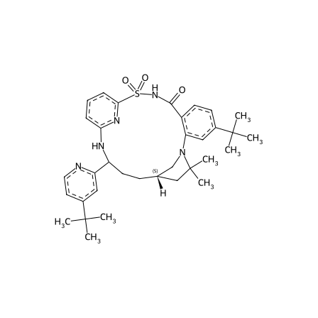 CC(C)(C)c1ccnc(C2CC[C@@H]3CN(c4cc(C(C)(C)C)ccc4C(=O)NS(=O)(=O)c4cccc(n4)N2)C(C)(C)C3)c1